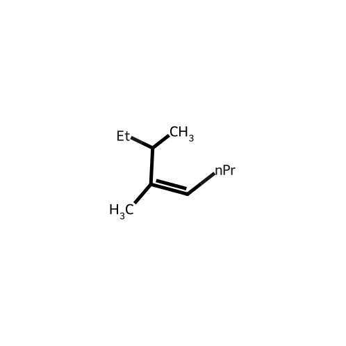 CCCC=C(C)C(C)CC